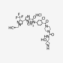 C#CCn1cc(-c2cnc(C(=O)Nc3ccc(C(=O)N4CCN(C(=O)NCC5(O)CNC5)CC4)c(Cl)c3)n2C)c(C(F)(F)F)n1.Cl